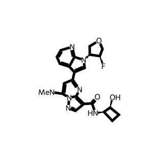 CNc1cc(-c2cn([C@H]3COC[C@H]3F)c3ncccc23)nc2c(C(=O)N[C@@H]3CC[C@@H]3O)cnn12